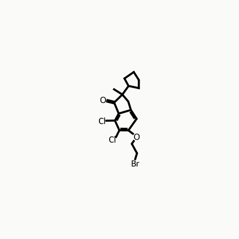 CC1(C2CCCC2)Cc2cc(OCCBr)c(Cl)c(Cl)c2C1=O